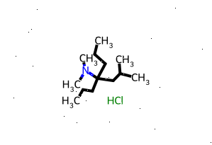 CCCC(CCC)(CC(C)C)N(C)C.Cl